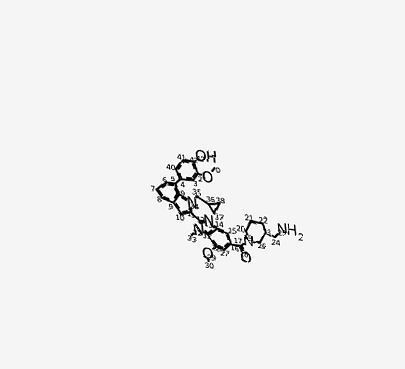 COc1cc(-c2cccc3cc(-c4nc5cc(C(=O)N6CCC[C@@H](CN)C6)cc(OC)c5n4C)n(CC4CC4)c23)ccc1O